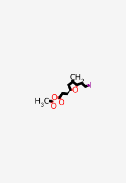 C=C1C[C@H](CCC(=O)OC(C)=O)OC1CCI